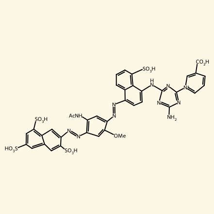 COc1cc(N=Nc2cc3c(S(=O)(=O)O)cc(S(=O)(=O)O)cc3cc2S(=O)(=O)O)c(NC(C)=O)cc1N=Nc1ccc(Nc2nc(N)nc(-[n+]3cccc(C(=O)O)c3)n2)c2c(S(=O)(=O)O)cccc12